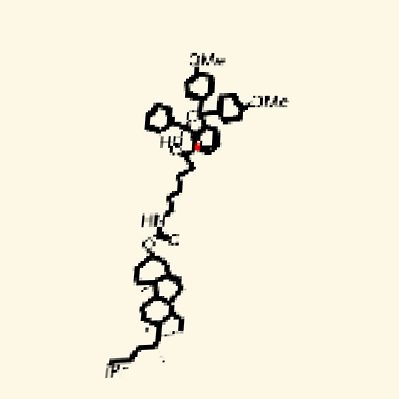 COc1ccc(C(O[C@](O)(c2ccccc2)[C@H](C)NC(=O)CCCCCNC(=O)OC2CC[C@@]3(C)C(=CCC4C3CC[C@@]3(C)C4CC[C@@H]3[C@H](C)CCCC(C)C)C2)(c2ccccc2)c2ccc(OC)cc2)cc1